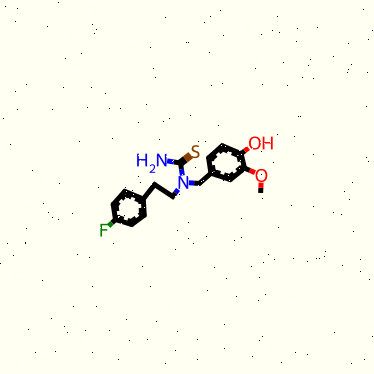 COc1cc(CN(CCc2ccc(F)cc2)C(N)=S)ccc1O